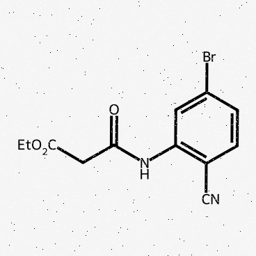 CCOC(=O)CC(=O)Nc1cc(Br)ccc1C#N